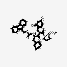 O=C(NC(Cc1ccccc1)C(=O)C(Cc1ccc(Cl)cc1Cl)C(=O)N1CCCN1C(=O)O)OCC1=C2CC=CC=C2c2ccccc21